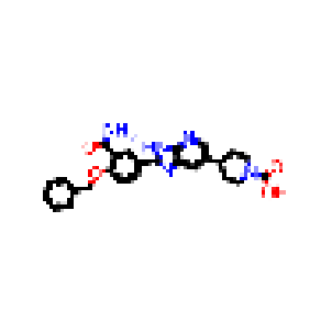 NC(=O)c1cc(-c2nc3cc(C4CCN(C(=O)O)CC4)cnc3[nH]2)ccc1OCc1ccccc1